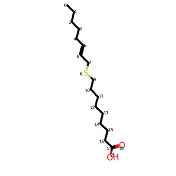 CCCCCC=CCSCCCCCCCCC(=O)O